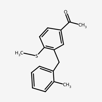 CSc1ccc(C(C)=O)cc1Cc1ccccc1C